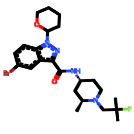 C[C@H]1C[C@H](NC(=O)c2nn(C3CCCCO3)c3ccc(Br)cc23)CCN1CC(C)(C)F